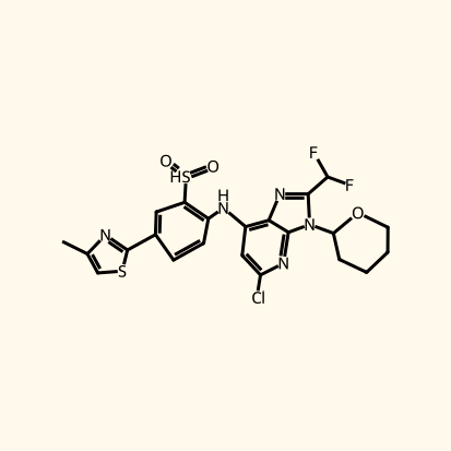 Cc1csc(-c2ccc(Nc3cc(Cl)nc4c3nc(C(F)F)n4C3CCCCO3)c([SH](=O)=O)c2)n1